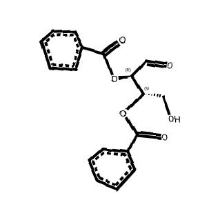 O=C[C@H](OC(=O)c1ccccc1)[C@H](CO)OC(=O)c1ccccc1